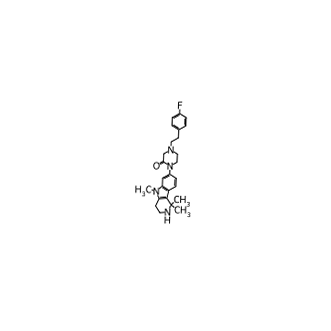 Cn1c2c(c3ccc(N4CCN(CCc5ccc(F)cc5)CC4=O)cc31)C(C)(C)NCC2